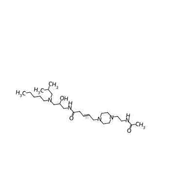 CCCCCN(CC(C)C)CC(O)CNC(=O)C/C=C/CN1CCN(CCNC(C)=O)CC1